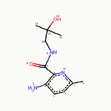 Cc1ccc(N)c(C(=O)NCC(C)(C)O)n1